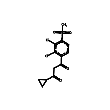 CS(=O)(=O)c1ccc(C(=O)CC(=O)C2CC2)c(Cl)c1Cl